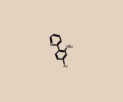 CCCCc1cc(C(C)=O)ccc1-c1ccccn1